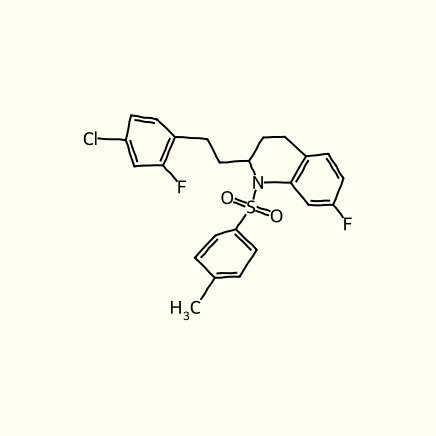 Cc1ccc(S(=O)(=O)N2c3cc(F)ccc3CCC2CCc2ccc(Cl)cc2F)cc1